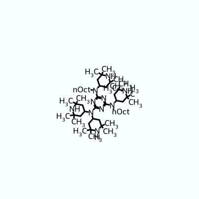 CCCCCCCCN(c1nc(N(CCCCCCCC)C2CC(C)(C)NC(C)(C)C2)nc(N(C2CC(C)(C)NC(C)(C)C2)C2CC(C)(C)NC(C)(C)C2)n1)C1CC(C)(C)NC(C)(C)C1